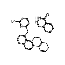 Brc1cccc(Cc2cccc3ccc4c(c23)CCC2=C4C=CCC2)n1.O=c1[nH]ncc2ccccc12